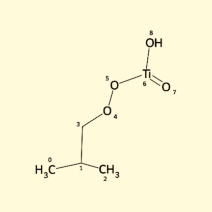 CC(C)CO[O][Ti](=[O])[OH]